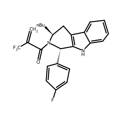 C=C(C(=O)N1[C@@H](CCCC)Cc2c([nH]c3ccccc23)[C@@H]1c1ccc(F)cc1)C(F)(F)F